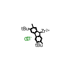 Cc1cc2c(cc1C(C)(C)C)-c1cc(C(C)(C)C)c(C)cc1[CH]2[Zr+2].[Cl-].[Cl-]